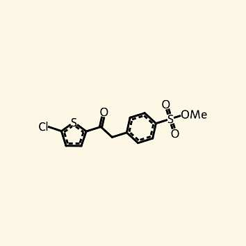 COS(=O)(=O)c1ccc(CC(=O)c2ccc(Cl)s2)cc1